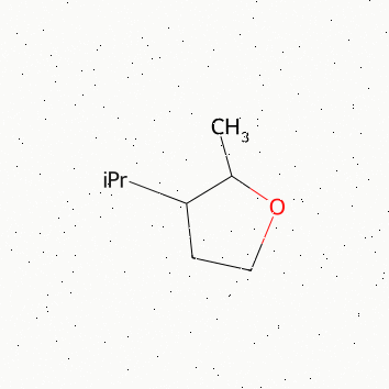 CC(C)C1CCOC1C